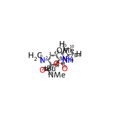 C=Nc1cc(OC)c(N[C@H]2[C@@H]3C[C@H]2CN(C(=O)OC(C)(C)C)C3)cc1C(=O)NC